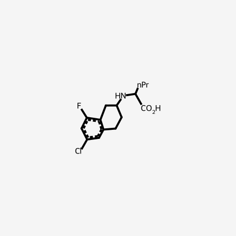 CCCC(NC1CCc2cc(Cl)cc(F)c2C1)C(=O)O